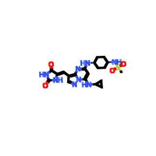 CS(=O)(=O)N[C@H]1CC[C@H](Nc2cc(NC3CC3)n3ncc(/C=C4\NC(=O)NC4=O)c3n2)CC1